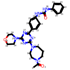 CC(=O)N1CCCN(c2nc(-c3ccc(NC(=O)Nc4ccccc4)cc3)nc(N3CCOCC3)n2)CC1